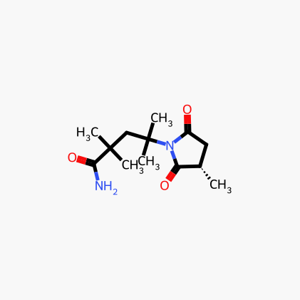 C[C@H]1CC(=O)N(C(C)(C)CC(C)(C)C(N)=O)C1=O